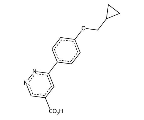 O=C(O)c1cnnc(-c2ccc(OCC3CC3)cc2)c1